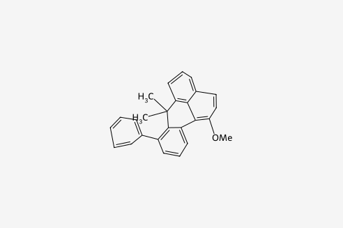 COc1ccc2cccc3c2c1-c1cccc(-c2ccccc2)c1C3(C)C